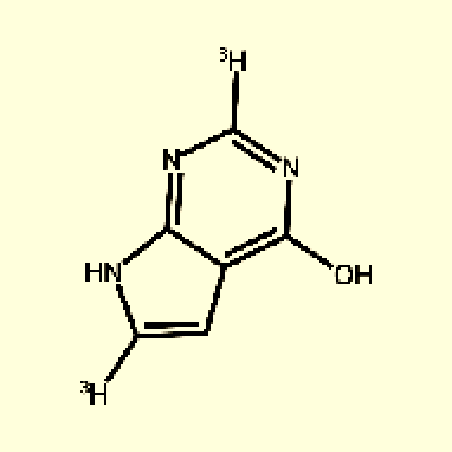 [3H]c1nc(O)c2cc([3H])[nH]c2n1